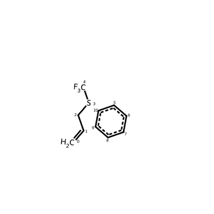 C=CCSC(F)(F)F.c1ccccc1